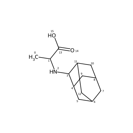 CC(NC1C2CC3CC(C2)CC1C3)C(=O)O